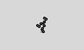 c1cc(-c2ccc3sc4ccccc4c3c2)cc(N(c2ccc(-c3cccc4ccccc34)cc2)c2cccc(-c3cccc4ccccc34)c2)c1